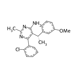 COc1cccc([C@H](C)c2c(N)nc(C)nc2-c2ccccc2Cl)c1